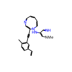 C=Cc1ccc(C)c(C#Cc2cncccccn2N/C(C=N)=C/NC)c1